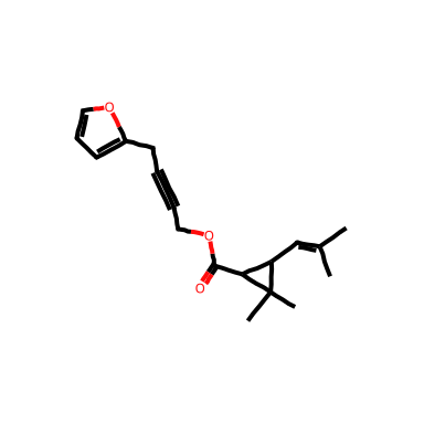 CC(C)=CC1C(C(=O)OCC#CCc2ccco2)C1(C)C